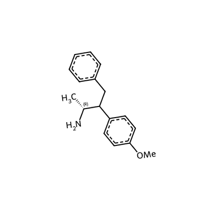 COc1ccc(C(Cc2ccccc2)[C@@H](C)N)cc1